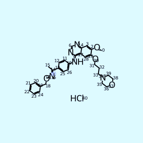 COc1cc2ncnc(Nc3ccc(/C(C)=N/OCc4ccccc4)cc3)c2cc1OCCCN1CCOCC1.Cl